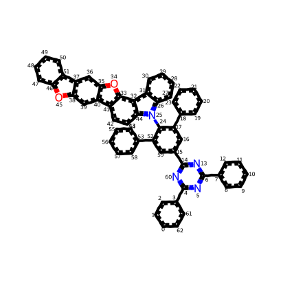 c1ccc(-c2nc(-c3ccccc3)nc(-c3cc(-c4ccccc4)c(-n4c5ccccc5c5c6oc7cc8c(cc7c6ccc54)oc4ccccc48)c(-c4ccccc4)c3)n2)cc1